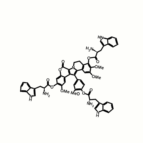 COc1cc(-c2c3n(c4c(=O)oc5cc(OC(=O)[C@@H](N)Cc6c[nH]c7ccccc67)c(OC)cc5c24)CCc2c-3cc(OC)c(OC)c2OC(=O)[C@@H](N)Cc2c[nH]c3ccccc23)ccc1OC(=O)[C@@H](N)Cc1c[nH]c2ccccc12